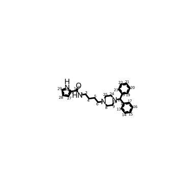 O=C(NCCCCN1CCN(C(c2ccccc2)c2ccccc2)CC1)c1ccc[nH]1